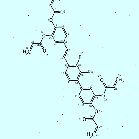 C=CC(=O)Oc1ccc(/C=C/c2ccc(-c3ccc(OC(=O)C=C)c(OC(=O)C=C)c3)c(F)c2F)cc1OC(=O)C=C